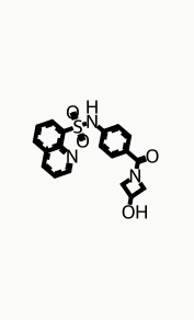 O=C(c1ccc(NS(=O)(=O)c2cccc3cccnc23)cc1)N1CC(O)C1